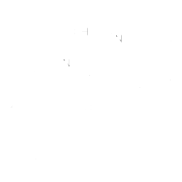 CN(CC1CCCCC1)C(=O)c1ccccn1